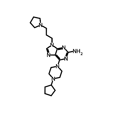 Nc1nc(N2CCN(C3CCCC3)CC2)c2ncn(CCCN3CCCC3)c2n1